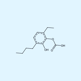 CCCCc1ccc(CC)c(OC(=O)O)c1O